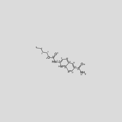 CCCCOC(=O)Nc1ccc2cc(C(N)=O)ccc2n1